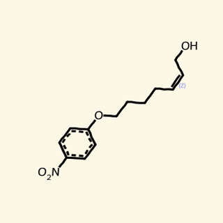 O=[N+]([O-])c1ccc(OCCCC/C=C\CO)cc1